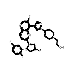 OCCN1CCC(n2cc(-c3c(Cl)cnc4ccc(N5C[C@@H](F)C[C@@H]5c5cc(F)ccc5F)nc34)cn2)CC1